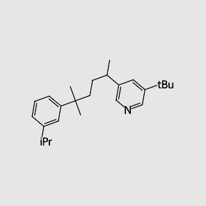 CC(C)c1cccc(C(C)(C)CCC(C)c2cncc(C(C)(C)C)c2)c1